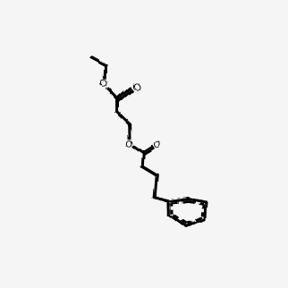 CCOC(=O)CCOC(=O)CCCc1ccccc1